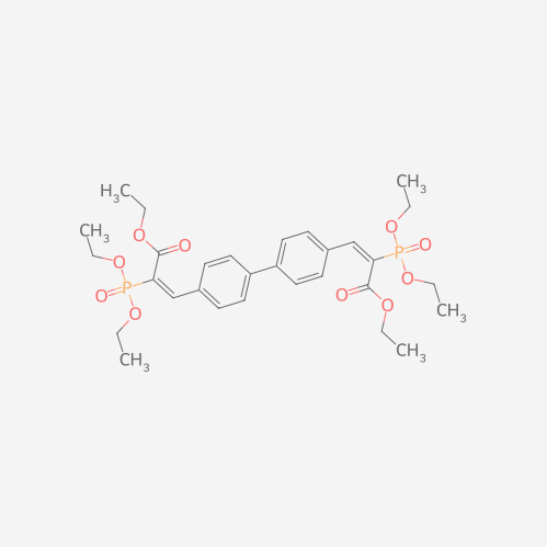 CCOC(=O)/C(=C\c1ccc(-c2ccc(/C=C(\C(=O)OCC)P(=O)(OCC)OCC)cc2)cc1)P(=O)(OCC)OCC